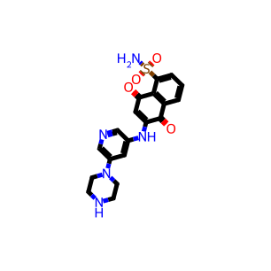 NS(=O)(=O)c1cccc2c1C(=O)C=C(Nc1cncc(N3CCNCC3)c1)C2=O